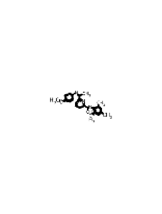 COc1ccc(N=C(C)c2cccc(C(C)=Nc3c(C)cc(C)cc3C)n2)cc1